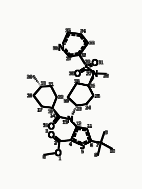 COC(=O)c1sc(C(C)(C)C)cc1N(C(=O)[C@H]1CC[C@H](C)CC1)[C@H]1CC[C@H](N(C)S(=O)(=O)c2cccnc2)CC1